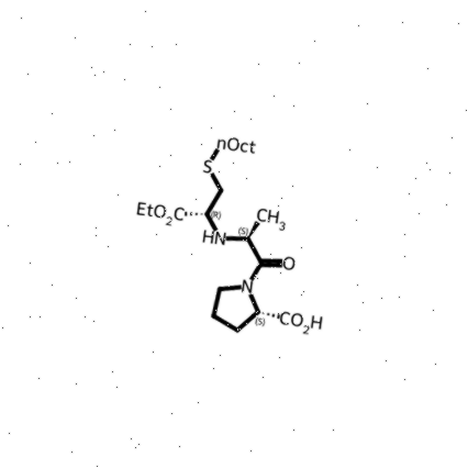 CCCCCCCCSC[C@H](N[C@@H](C)C(=O)N1CCC[C@H]1C(=O)O)C(=O)OCC